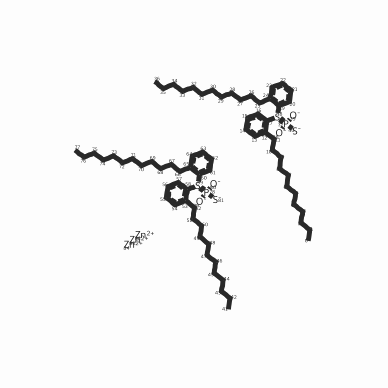 CCCCCCCCCCCCc1ccccc1S(c1ccccc1CCCCCCCCCCCC)=P([O-])([O-])[S-].CCCCCCCCCCCCc1ccccc1S(c1ccccc1CCCCCCCCCCCC)=P([O-])([O-])[S-].[Zn+2].[Zn+2].[Zn+2]